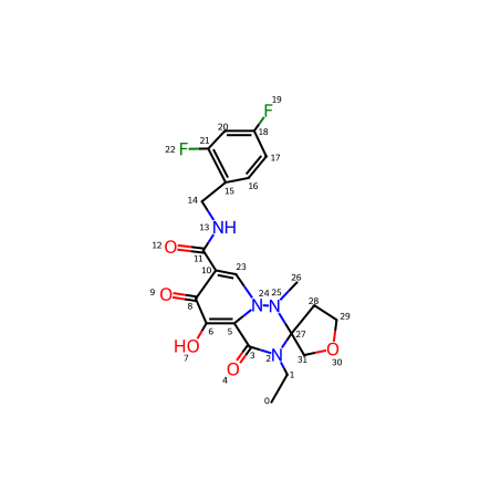 CCN1C(=O)c2c(O)c(=O)c(C(=O)NCc3ccc(F)cc3F)cn2N(C)C12CCOC2